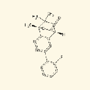 CC1(C)C[C@H]2C(=O)C[C@]1(C)c1nnc(-c3ccccc3F)cc12